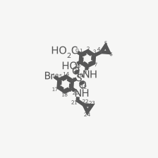 O=C(O)c1cc(C2CC2)cc(NS(=O)(=O)c2cc(Br)ccc2NCC2CC2)c1O